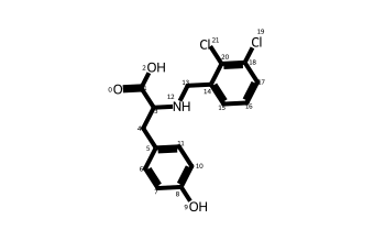 O=C(O)C(Cc1ccc(O)cc1)NCc1cccc(Cl)c1Cl